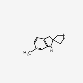 Cc1ccc2c(c1)NC(CF)(CF)C2